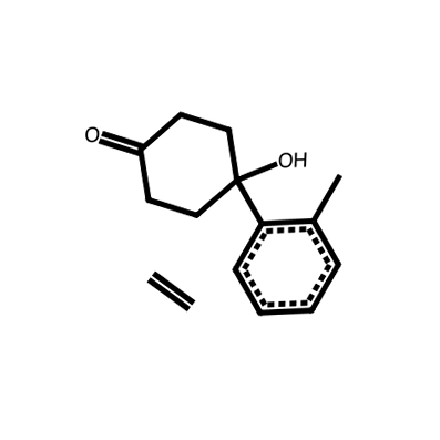 C=C.Cc1ccccc1C1(O)CCC(=O)CC1